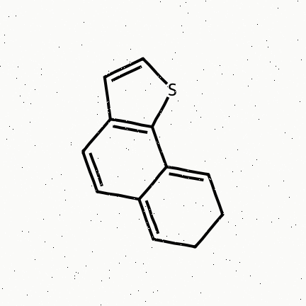 C1=c2ccc3ccsc3c2=CCC1